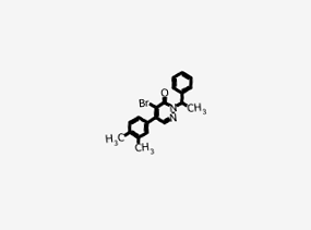 Cc1ccc(-c2cnn(C(C)c3ccccc3)c(=O)c2Br)cc1C